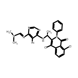 CC(=O)c1c(N=CN(C)C)ncnc1N[C@@H](C)c1c(Cl)c2cccc(Cl)c2c(=O)n1-c1ccccc1